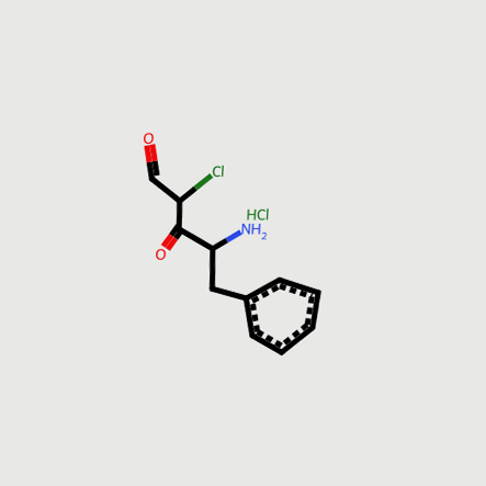 Cl.NC(Cc1ccccc1)C(=O)C(Cl)C=O